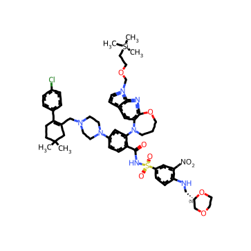 CC1(C)CCC(c2ccc(Cl)cc2)=C(CN2CCN(c3ccc(C(=O)NS(=O)(=O)c4ccc(NC[C@H]5COCCO5)c([N+](=O)[O-])c4)c(N4CCCOc5nc6c(ccn6COCC[Si](C)(C)C)cc54)c3)CC2)C1